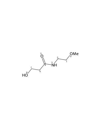 COCCNC(=O)CCO